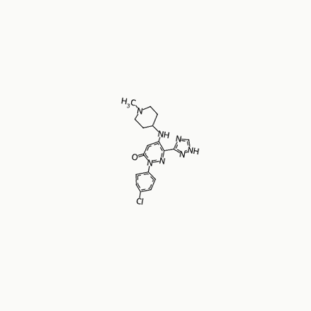 CN1CCC(Nc2cc(=O)n(-c3ccc(Cl)cc3)nc2-c2nc[nH]n2)CC1